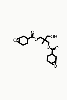 CC(CO)(COC(=O)C1CCC2OC2C1)COC(=O)C1CCC2OC2C1